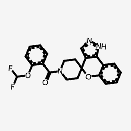 O=C(c1ccccc1OC(F)F)N1CCC2(CC1)Oc1ccccc1-c1[nH]ncc12